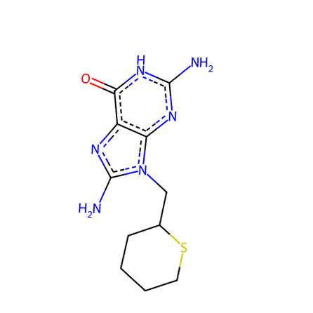 Nc1nc2c(nc(N)n2CC2CCCCS2)c(=O)[nH]1